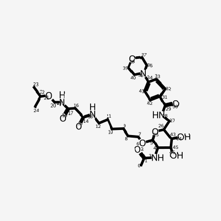 CC(=O)NC1C(OCCCCCCNC(=O)CC(=O)NCOC(C)C)OC(CNC(=O)c2ccc(N3CCOCC3)cc2)C(O)C1O